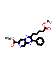 COC(=O)c1cc2nc(CCCCC(=O)OC(C)(C)C)c(-c3ccccc3)nc2cn1